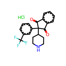 Cl.O=C1c2ccccc2C(=O)C1(c1cccc(C(F)(F)F)c1)C1CCNCC1